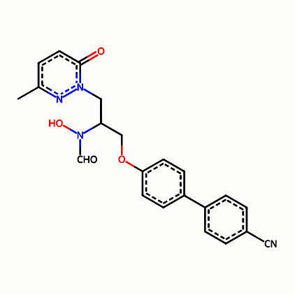 Cc1ccc(=O)n(CC(COc2ccc(-c3ccc(C#N)cc3)cc2)N(O)C=O)n1